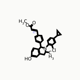 COC(=O)/C=C/c1ccc(C2c3ccc(O)cc3CC(C)N2c2ccc(C3CC3)cc2Cl)cc1